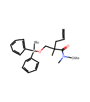 C=CCC(C)(CO[Si](c1ccccc1)(c1ccccc1)C(C)(C)C)C(=O)N(C)OC